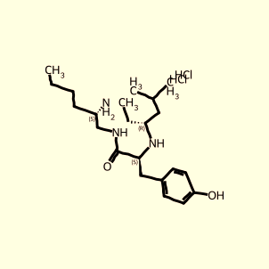 CCCC[C@H](N)CNC(=O)[C@H](Cc1ccc(O)cc1)N[C@H](CC)CC(C)C.Cl.Cl